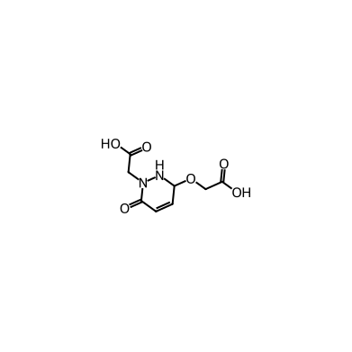 O=C(O)COC1C=CC(=O)N(CC(=O)O)N1